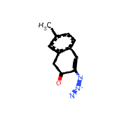 Cc1ccc2c(c1)CC(=O)C(N=[N+]=[N-])=C2